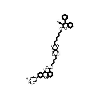 CCN(CC)c1ccc(C(=O)c2ccccc2C(=O)OCCCCC2OCC3(COC(CCCCCCOC(=O)C(C#N)=C(c4ccccc4)c4ccccc4)OC3)CO2)c(O)c1